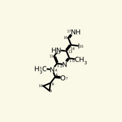 CC1=NC(N(C)C(=O)C2CC2)=CN/C1=C(/I)C=N